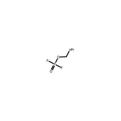 CCCCOP(=O)(F)F